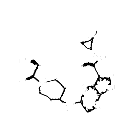 C=CC(=O)N1CCC(Oc2cnc3[nH]cc(C(=O)N[C@@H]4C[C@H]4C(F)(F)F)c3n2)CC1